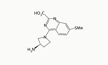 CSc1ccc2c(N3CC[C@@H](N)C3)nc(C(=O)O)nc2c1